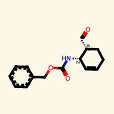 O=C[C@@H]1CCC=C[C@@H]1NC(=O)OCc1ccccc1